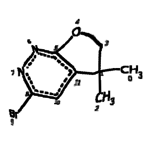 CC1(C)COc2nnc(Br)cc21